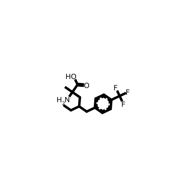 CCC(Cc1ccc(C(F)(F)F)cc1)CC(C)(N)C(=O)O